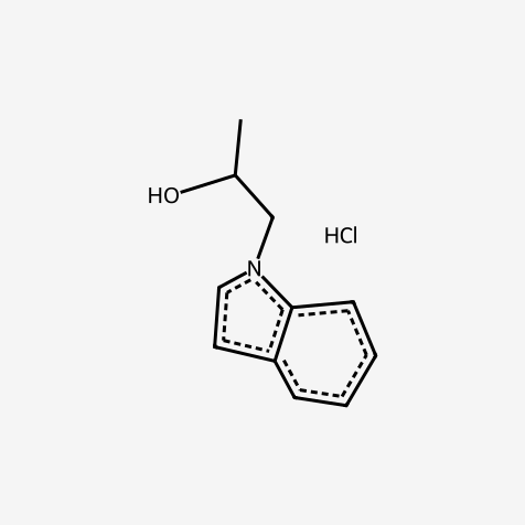 CC(O)Cn1ccc2ccccc21.Cl